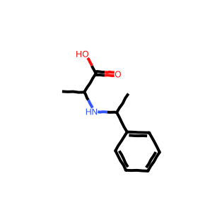 CC(NC(C)c1ccccc1)C(=O)O